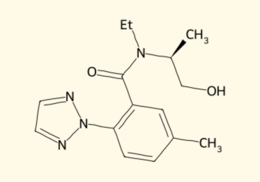 CCN(C(=O)c1cc(C)ccc1-n1nccn1)[C@@H](C)CO